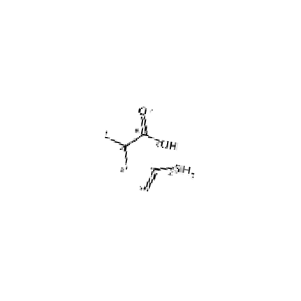 C=C[SiH3].CC(C)C(=O)O